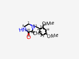 COc1ccc(CN2CCNC(=O)[C@@H]2C)c(OC)c1